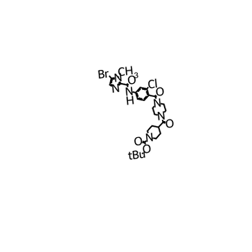 Cn1c(Br)cnc1C(=O)Nc1ccc(C(=O)N2CCN(C(=O)C3CCN(C(=O)OC(C)(C)C)CC3)CC2)c(Cl)c1